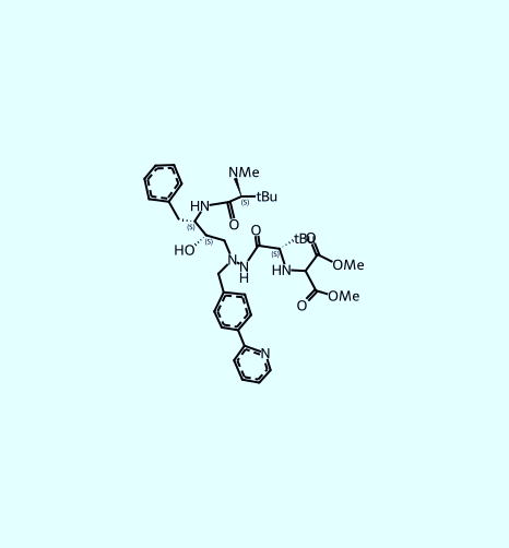 CN[C@H](C(=O)N[C@@H](Cc1ccccc1)[C@@H](O)CN(Cc1ccc(-c2ccccn2)cc1)NC(=O)[C@@H](NC(C(=O)OC)C(=O)OC)C(C)(C)C)C(C)(C)C